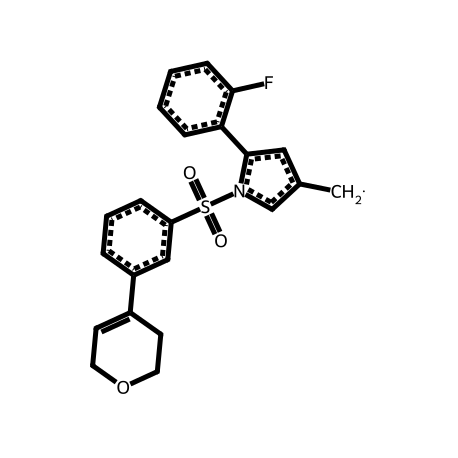 [CH2]c1cc(-c2ccccc2F)n(S(=O)(=O)c2cccc(C3=CCOCC3)c2)c1